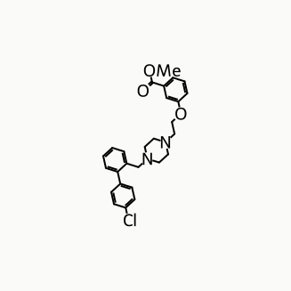 COC(=O)c1cccc(OCCN2CCN(Cc3ccccc3-c3ccc(Cl)cc3)CC2)c1